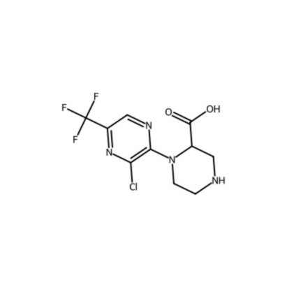 O=C(O)C1CNCCN1c1ncc(C(F)(F)F)nc1Cl